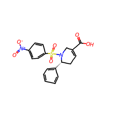 O=C(O)C1=CC[C@H](c2ccccc2)N(S(=O)(=O)c2ccc([N+](=O)[O-])cc2)C1